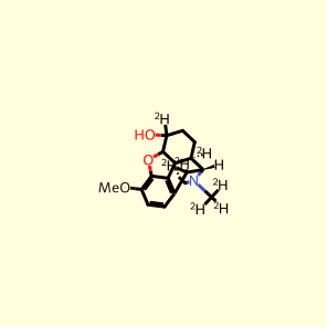 [2H]C1(O)CC[C@@]2([2H])[C@@H]3N(C([2H])([2H])[2H])CC[C@@]24c2c(ccc(OC)c2OC14)C3([2H])[2H]